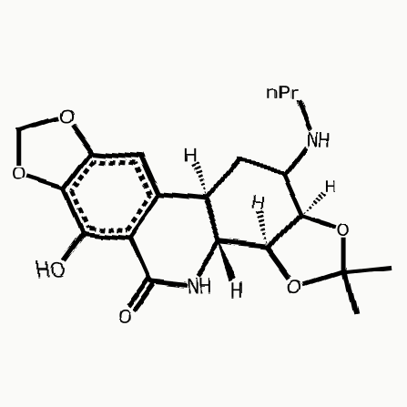 CCCNC1C[C@@H]2c3cc4c(c(O)c3C(=O)N[C@H]2[C@@H]2OC(C)(C)O[C@H]12)OCO4